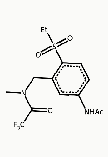 CCS(=O)(=O)c1ccc(NC(C)=O)cc1CN(C)C(=O)C(F)(F)F